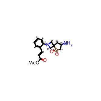 COC(=O)C=Cc1ccccc1N1CC2(CC(N)CS2(=O)=O)C1